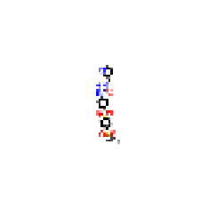 CS(=O)(=O)c1ccc(S(=O)(=O)c2ccc(NC(=O)NCc3cccnc3)cc2)cc1